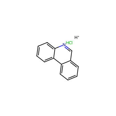 Cl.[H+].c1ccc2c(c1)cnc1ccccc12